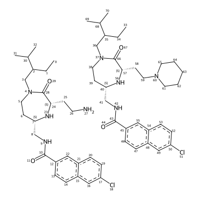 CCC(CN1CC[C@@H](CNC(=O)c2ccc3cc(Cl)ccc3c2)N[C@@H](CCN)C1=O)C(C)C.CCC(CN1CC[C@@H](CNC(=O)c2ccc3cc(Cl)ccc3c2)N[C@@H](CCN2CCCCC2)C1=O)C(C)C